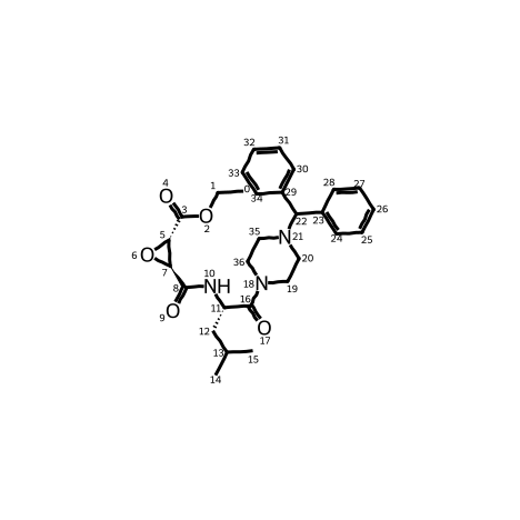 CCOC(=O)[C@H]1O[C@@H]1C(=O)N[C@@H](CC(C)C)C(=O)N1CCN(C(c2ccccc2)c2ccccc2)CC1